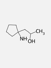 CC(O)CC1([NH])CCCC1